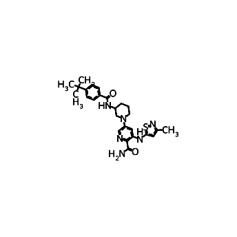 Cc1cc(Nc2cc(N3CCCC(NC(=O)c4ccc(C(C)(C)C)cc4)C3)cnc2C(N)=O)sn1